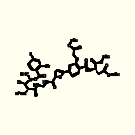 CCCCC[C@@H](C(=O)NCNC(=O)c1ccc(-c2ccc(C(=O)N[C@@H](CC(=O)OCCCC)C(=O)OCCCC)c(OCC(=O)OCCCC)c2)o1)[C@@H](CC)N(C=O)OC(=O)c1ccc(F)cc1C(C)C